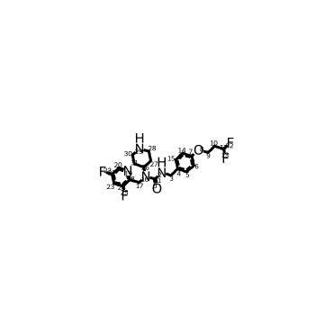 O=C(NCc1ccc(OCCC(F)F)cc1)N(Cc1ncc(F)cc1F)C1CCNCC1